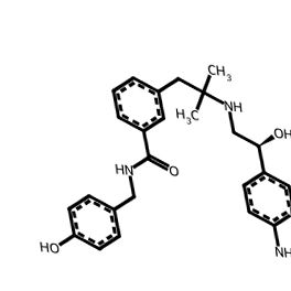 CC(C)(Cc1cccc(C(=O)NCc2ccc(O)cc2)c1)NC[C@@H](O)c1ccc(N)nc1